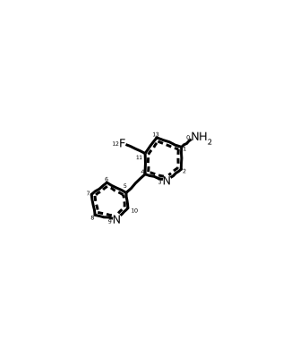 Nc1cnc(-c2cccnc2)c(F)c1